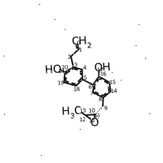 C=CCc1cc(-c2cc(C[C@@H]3OC3C)ccc2O)ccc1O